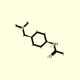 CC(=O)N[C@H]1CC[C@@H](CN(C)C)CC1